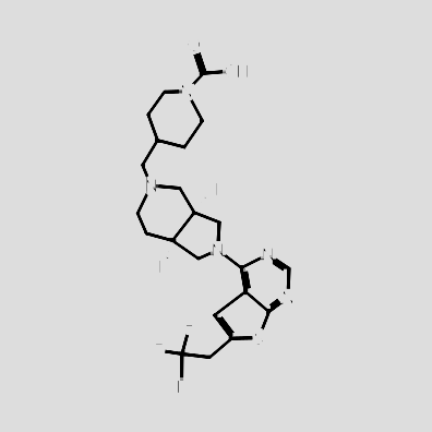 CC(=O)N1CCC(CN2CC[C@@H]3CN(c4ncnc5sc(CC(F)(F)F)cc45)C[C@@H]3C2)CC1